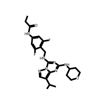 CCC(=O)Nc1cc(F)c(CNc2nc(NC3CCOCC3)nc3c(C(C)C)cnn23)c(F)c1